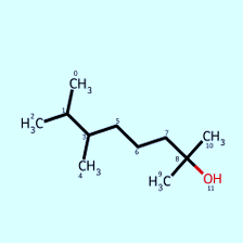 CC(C)C(C)CCCC(C)(C)O